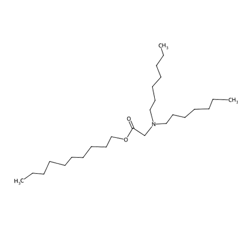 CCCCCCCCCCOC(=O)CN(CCCCCCC)CCCCCCC